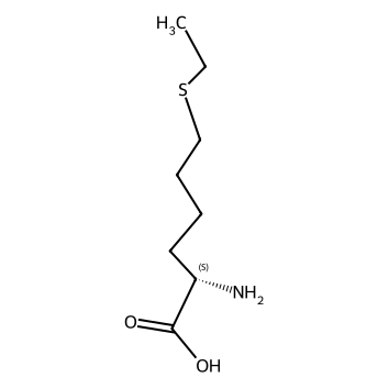 CCSCCCC[C@H](N)C(=O)O